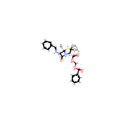 CC1(C)S[C@@H]2[C@H](N=Cc3ccccc3)C(=O)N2[C@H]1C(=O)OCOC(=O)c1ccccc1